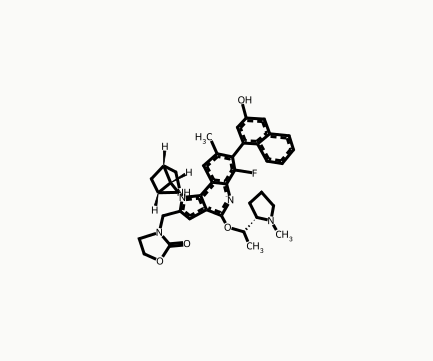 Cc1cc2c(nc(OC(C)[C@@H]3CCCN3C)c3cc(CN4CCOC4=O)n([C@H]4[C@H]5CN[C@@H]4C5)c32)c(F)c1-c1cc(O)cc2ccccc12